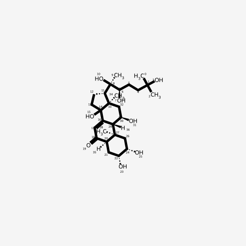 CC(C)(O)CC[C@@H](O)[C@](C)(O)[C@H]1CCC2(O)C3=CC(=O)[C@@H]4C[C@@H](O)[C@@H](O)C[C@]4(C)[C@H]3[C@H](O)C[C@]12C